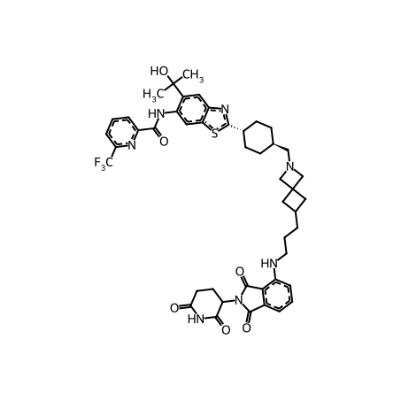 CC(C)(O)c1cc2nc([C@H]3CC[C@H](CN4CC5(CC(CCCNc6cccc7c6C(=O)N(C6CCC(=O)NC6=O)C7=O)C5)C4)CC3)sc2cc1NC(=O)c1cccc(C(F)(F)F)n1